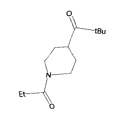 CCC(=O)N1CCC(C(=O)C(C)(C)C)CC1